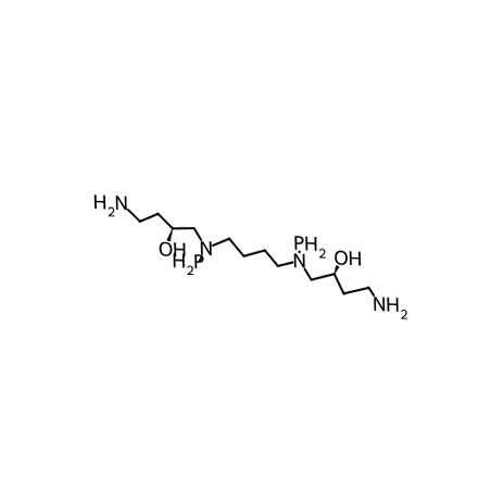 NCC[C@H](O)CN(P)CCCCN(P)C[C@@H](O)CCN